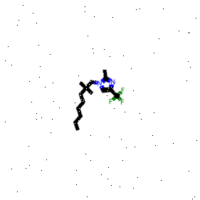 CCCCCCC(C)(C)Cn1cc(C(F)(F)F)nc1C